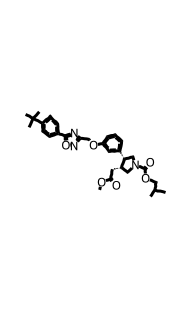 COC(=O)C[C@H]1CN(C(=O)OCC(C)C)C[C@H]1c1cccc(OCc2noc(-c3ccc(C(C)(C)C)cc3)n2)c1